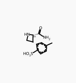 Cc1ccc(S(=O)(=O)O)cc1.NC(=O)[C@@H]1CCN1